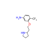 Nc1ccc(C(F)(F)F)c(OCCC2CCCN2)c1